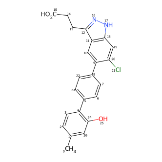 Cc1ccc(-c2ccc(-c3cc4c(CCC(=O)O)n[nH]c4cc3Cl)cc2)c(O)c1